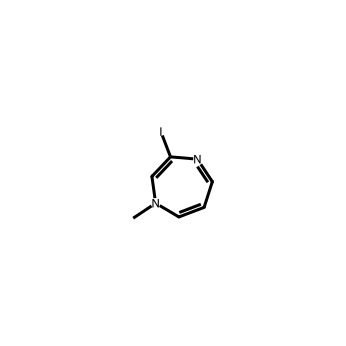 CN1C=CC=NC(I)=C1